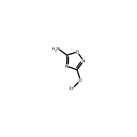 CCOc1noc(N)n1